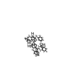 O=C(O)C[C@@H](Cc1ccccc1)NC(=O)[C@H](Cc1ccncc1)NC(=O)[C@@H]1CC[C@@H]2CC[C@H](NC(=O)Cc3ccccc3)C(=O)N21